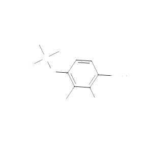 Cc1c(O[Si](C)(C)C(C)(C)C)ccc(C=O)c1O